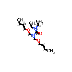 CCCCOCN(COCCCC)C(=O)N(CC)CC